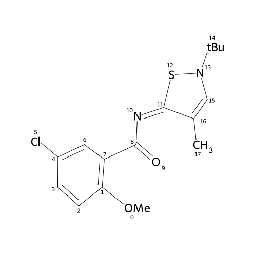 COc1ccc(Cl)cc1C(=O)N=c1sn(C(C)(C)C)cc1C